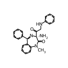 CN1C(=O)[C@](N)(C(=O)CNc2ccccc2)N=C(c2ccccc2)c2ccccc21